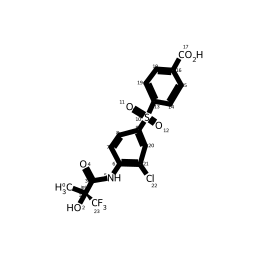 C[C@@](O)(C(=O)Nc1ccc(S(=O)(=O)c2ccc(C(=O)O)cc2)cc1Cl)C(F)(F)F